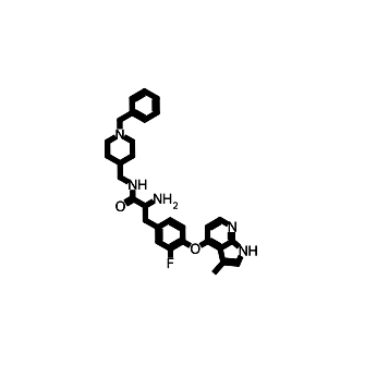 Cc1c[nH]c2nccc(Oc3ccc(CC(N)C(=O)NCC4CCN(Cc5ccccc5)CC4)cc3F)c12